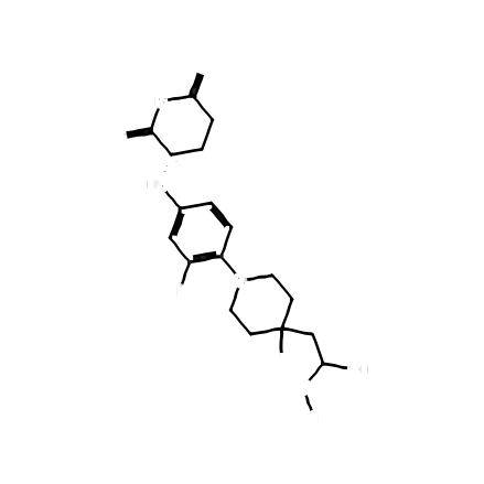 CC(C)(C)OC(O)CC1(O)CCN(c2ccc(N[C@H]3CCC(=O)NC3=O)cc2F)CC1